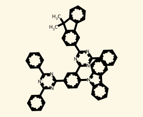 CC1(C)c2ccccc2-c2cc(-c3nc(-c4ccccc4)nc(-c4cc(-c5nc(-c6ccccc6)nc(-c6ccccc6)n5)ccc4-n4c5ccccc5c5ccccc54)n3)ccc21